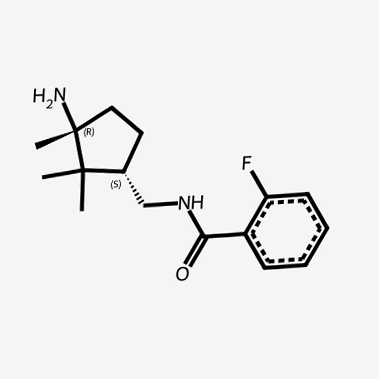 CC1(C)[C@@H](CNC(=O)c2ccccc2F)CC[C@@]1(C)N